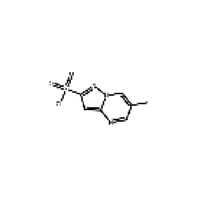 Cc1cnc2cc(S(=O)(=O)Cl)nn2c1